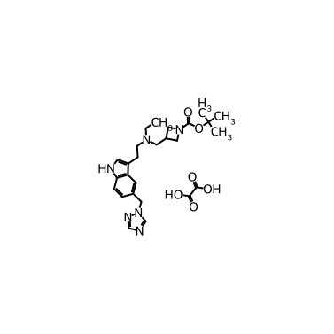 CCN(CCc1c[nH]c2ccc(Cn3cncn3)cc12)CC1CN(C(=O)OC(C)(C)C)C1.O=C(O)C(=O)O